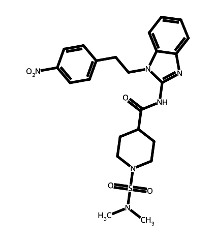 CN(C)S(=O)(=O)N1CCC(C(=O)Nc2nc3ccccc3n2CCc2ccc([N+](=O)[O-])cc2)CC1